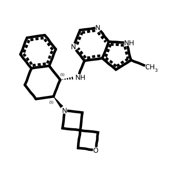 Cc1cc2c(N[C@H]3c4ccccc4CC[C@@H]3N3CC4(COC4)C3)ncnc2[nH]1